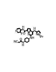 CC(C)n1ccc(Nc2cc(N[C@H]3CC[C@H](NC(=O)CC#N)CC3)nn3c(C(=O)Nc4ccncc4F)ccc23)n1